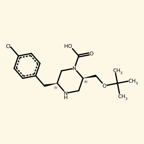 CC(C)(C)OC[C@H]1CN[C@@H](Cc2ccc(Cl)cc2)CN1C(=O)O